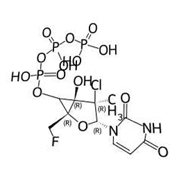 C[C@]1(Cl)[C@H](n2ccc(=O)[nH]c2=O)O[C@]2(CF)C(OP(=O)(O)OP(=O)(O)OP(=O)(O)O)[C@]12O